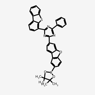 CC1(C)OB(c2ccc3oc4cc(-c5nc(-c6ccccc6)nc(-c6cccc7c6sc6ccccc67)n5)ccc4c3c2)OC1(C)C